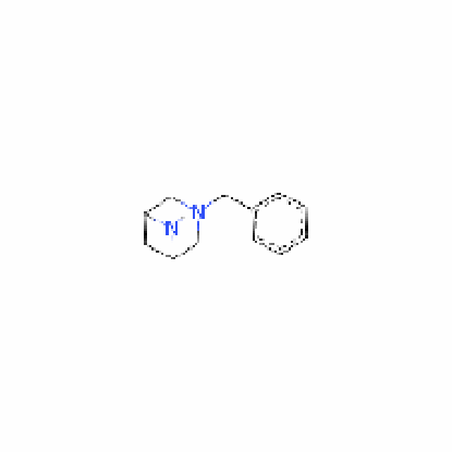 CN1C2CC1CN(Cc1ccccc1)C2